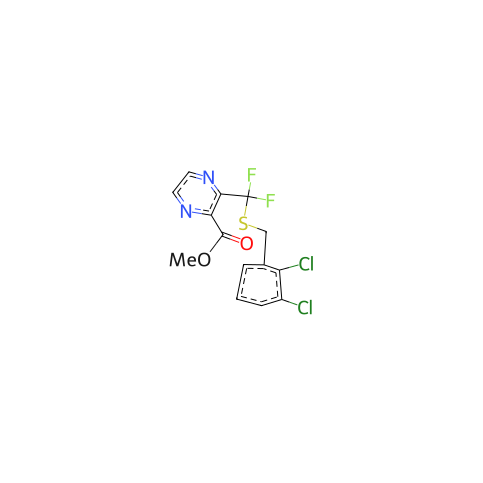 COC(=O)c1nccnc1C(F)(F)SCc1cccc(Cl)c1Cl